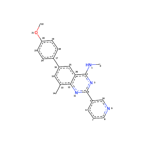 CNc1nc(-c2cccnc2)nc2c(C)cc(-c3ccc(OC)cc3)cc12